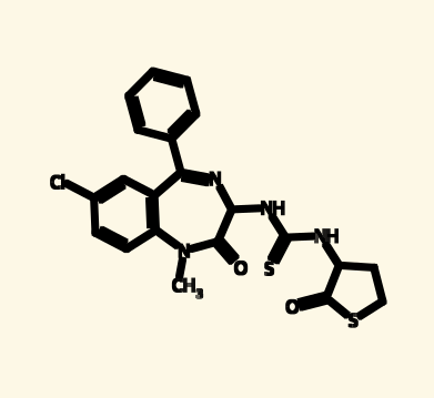 CN1C(=O)C(NC(=S)NC2CCSC2=O)N=C(c2ccccc2)c2cc(Cl)ccc21